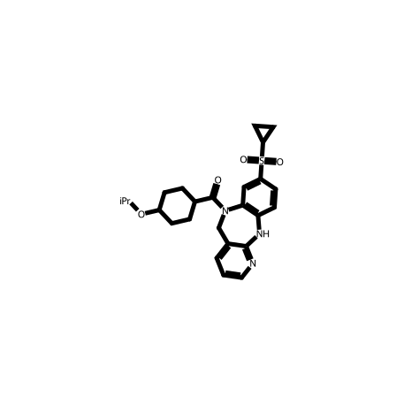 CC(C)OC1CCC(C(=O)N2Cc3cccnc3Nc3ccc(S(=O)(=O)C4CC4)cc32)CC1